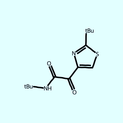 CC(C)(C)NC(=O)C(=O)c1csc(C(C)(C)C)n1